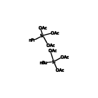 CCCC[Si](OC(C)=O)(OC(C)=O)OC(C)=O.CCC[Si](OC(C)=O)(OC(C)=O)OC(C)=O